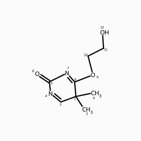 CC1(C)C=NC(=O)N=C1OCCO